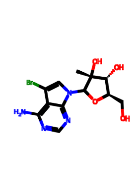 C[C@]1(O)C(n2cc(Br)c3c(N)ncnc32)O[C@H](CO)[C@H]1O